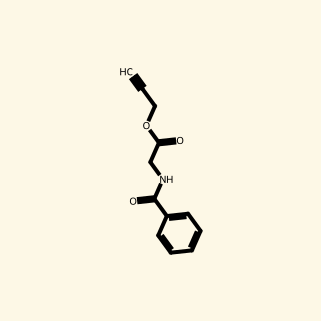 C#CCOC(=O)CNC(=O)c1ccccc1